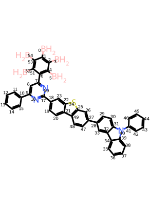 Bc1c(B)c(B)c(-c2cc(-c3ccccc3)nc(-c3ccc4c(c3)sc3cc(-c5ccc6c(c5)c5ccccc5n6-c5ccccc5)ccc34)n2)c(B)c1B